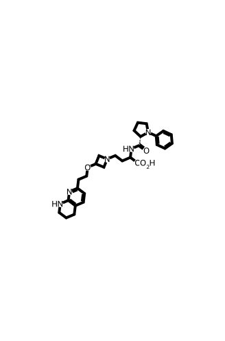 O=C(O)C(CCN1CC(OCCc2ccc3c(n2)NCCC3)C1)NC(=O)[C@@H]1CCCN1c1ccccc1